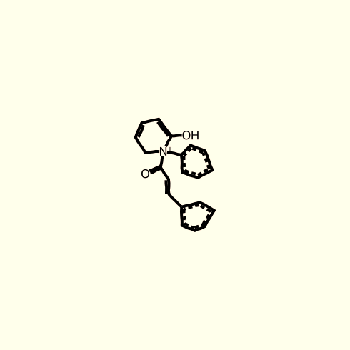 O=C(C=Cc1ccccc1)[N+]1(c2ccccc2)CC=CC=C1O